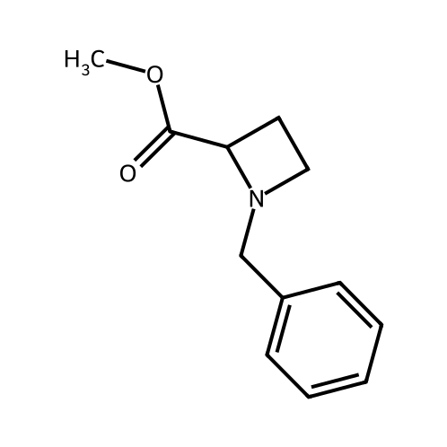 COC(=O)C1CCN1Cc1ccccc1